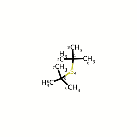 CC(C)(C)SC(C)(C)C